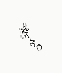 CC(C)[C@H](NC(=O)[C@H](N)CCCCNC(=O)COC1C#CCCCCC1)C(N)=O